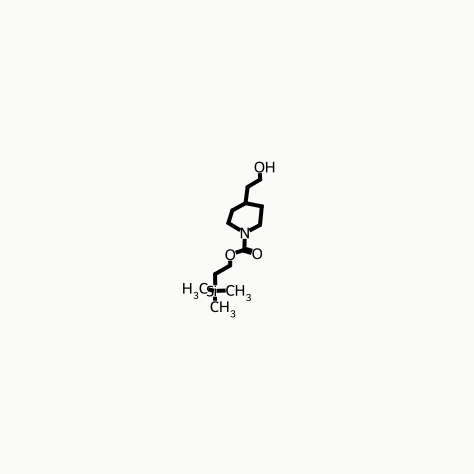 C[Si](C)(C)CCOC(=O)N1CCC(CCO)CC1